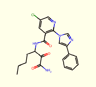 CCCCC(NC(=O)c1cc(Cl)cnc1-n1cnc(-c2ccccc2)c1)C(=O)C(N)=O